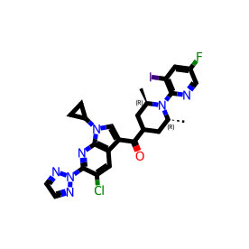 C[C@@H]1CC(C(=O)c2cn(C3CC3)c3nc(-n4nccn4)c(Cl)cc23)C[C@@H](C)N1c1ncc(F)cc1I